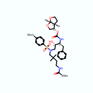 CNC(=O)NCCC(C)(C)CN(C[C@H](O)[C@H](Cc1ccccc1)NC(=O)O[C@@H]1CO[C@@H]2OCC[C@@H]21)S(=O)(=O)c1ccc(OC)cc1